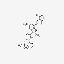 Cc1cc(OCc2c(F)cccc2F)n2nc(C)c(C(=O)NC3CCC(C)(C)c4ccccc43)c2c1